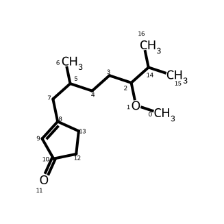 COC(CCC(C)CC1=CC(=O)CC1)C(C)C